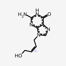 Nc1nc2c(ncn2C/C=C\CO)c(=O)[nH]1